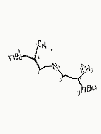 CCCCC(C)C[N]CC(C)CCCC